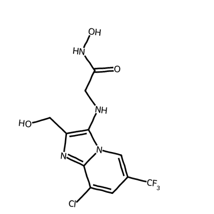 O=C(CNc1c(CO)nc2c(Cl)cc(C(F)(F)F)cn12)NO